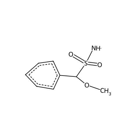 COC(c1ccccc1)S([NH])(=O)=O